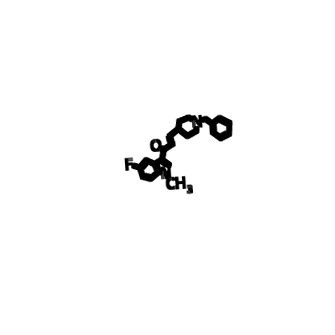 Cn1cc(C(=O)C=CC2CCN(Cc3ccccc3)CC2)c2cc(F)ccc21